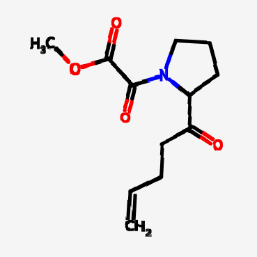 C=CCCC(=O)C1CCCN1C(=O)C(=O)OC